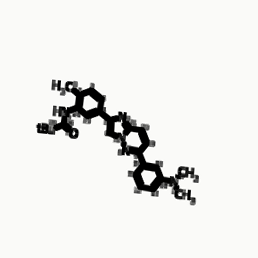 Cc1ccc(-c2cn3nc(-c4cccc(N(C)C)c4)ccc3n2)cc1NC(=O)C(C)(C)C